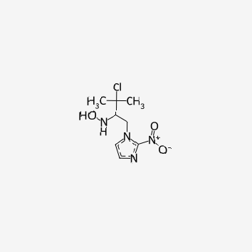 CC(C)(Cl)C(Cn1ccnc1[N+](=O)[O-])NO